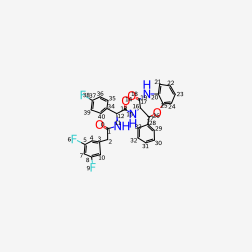 O=C(Cc1cc(F)cc(F)c1)N[C@H](C(=O)N[C@@H]1C(=O)Nc2ccccc2O[C@H]1c1ccccc1)c1ccc(F)cc1